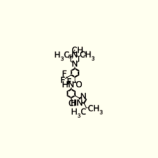 CC(C)c1cnc(-c2cc(NC(=O)c3ccc(N4CC(C)N(C)[C@@H](C)C4)cc3C(F)(F)F)ccc2Cl)[nH]1